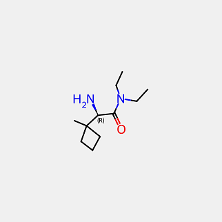 CCN(CC)C(=O)[C@H](N)C1(C)CCC1